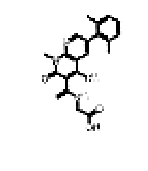 C=C(NCC(=O)O)c1c(O)c2cc(-c3c(C)cccc3C)cnc2n(C)c1=O